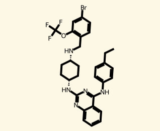 CCc1ccc(Nc2nc(N[C@H]3CC[C@@H](NCc4ccc(Br)cc4OC(F)(F)F)CC3)nc3ccccc23)cc1